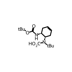 CC(C)(C)OC(=O)N[C@H]1CC=CC[C@H]1N(C(=O)O)C(C)(C)C